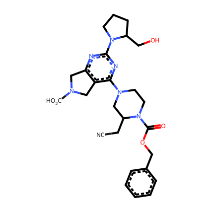 N#CCC1CN(c2nc(N3CCCC3CO)nc3c2CN(C(=O)O)C3)CCN1C(=O)OCc1ccccc1